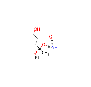 CCO[Si](C)(CCCO)OCC.N=C=O